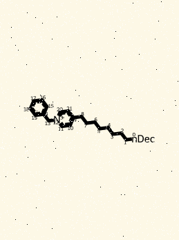 CCCCCCCCCCCCCCCCCCc1cc[n+](Cc2ccccc2)cc1